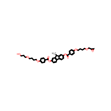 CC1c2cc(OC(=O)c3ccc(OCCCCOCCCO)cc3)ccc2-c2ccc(OC(=O)c3ccc(OCCCCOCC4CO4)cc3)cc21